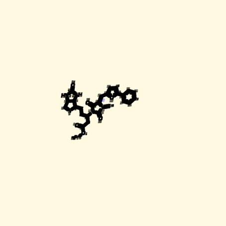 CCCOC(=O)CC(CCC1SCC2NC(=O)NC21)N1C(=O)/C(=C/c2ccc(-c3ccccc3)o2)S(=S)C1=O